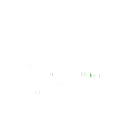 C[O][Ti]([O]C)([O]C)[C]1=C(C)C(C)=C(C)C1(C)C.Cl.Cl